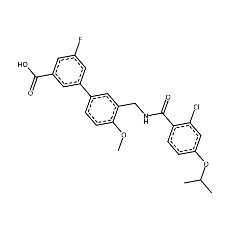 COc1ccc(-c2cc(F)cc(C(=O)O)c2)cc1CNC(=O)c1ccc(OC(C)C)cc1Cl